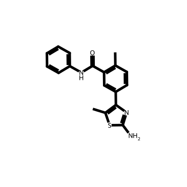 Cc1ccc(-c2nc(N)sc2C)cc1C(=O)Nc1ccccc1